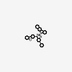 c1ccc(-c2ccc3c(-c4ccc5c(c4)oc4ccccc45)nc(-n4c5ccccc5c5cc6ccccc6cc54)nc3c2)cc1